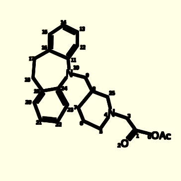 CC(=O)OC(=O)CN1CCCC(CN2c3ccccc3CCc3ccccc32)C1